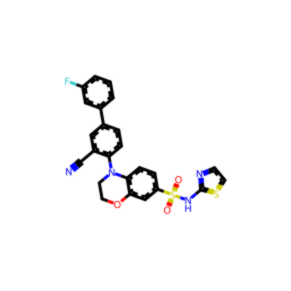 N#Cc1cc(-c2cccc(F)c2)ccc1N1CCOc2cc(S(=O)(=O)Nc3nccs3)ccc21